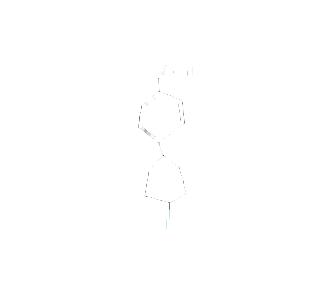 CCCCCc1ccc(C2CCC(F)CC2)cc1